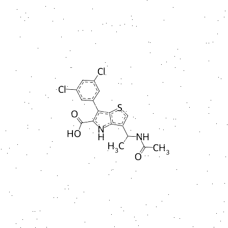 CC(=O)NC(C)c1csc2c(-c3cc(Cl)cc(Cl)c3)c(C(=O)O)[nH]c12